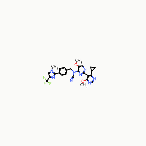 COc1cnc(-c2c(OC)ncnc2C2CC2)nc1N(C#N)Cc1ccc(-c2nc(C(F)(F)F)cn2C)cc1